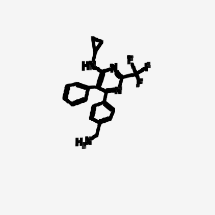 NCc1ccc(-c2nc(C(F)(F)F)nc(NC3CC3)c2-c2ccccc2)cc1